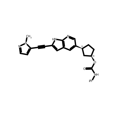 CC(C)NC(=O)O[C@@H]1CC[C@H](c2cnc3[nH]c(C#Cc4ccnn4C)cc3c2)C1